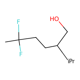 CC(C)C(CO)CCC(C)(F)F